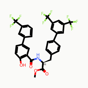 COC(=O)[C@H](Cc1ccc(-c2cc(C(F)(F)F)cc(C(F)(F)F)c2)cc1)NC(=O)c1cc(-c2cccc(C(F)(F)F)c2)ccc1O